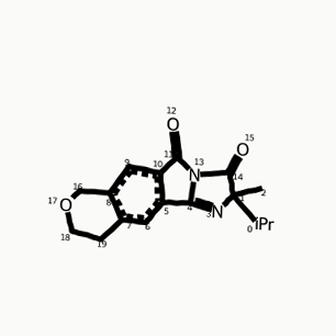 CC(C)C1(C)N=C2c3cc4c(cc3C(=O)N2C1=O)COCC4